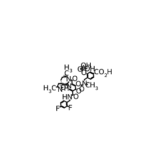 CC1=NO[C@@]2(CC[C@H](C)N3C[C@H]2n2cc(C(=O)NCc4ccc(F)cc4F)c(=O)c(OC(=O)N(C)Cc4ccc(C(=O)O)cc4OP(=O)(O)O)c2C3=O)C1